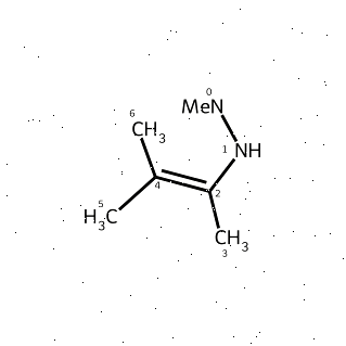 CNNC(C)=C(C)C